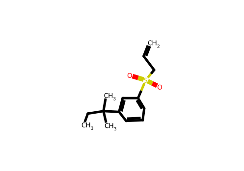 C=CCS(=O)(=O)c1cccc(C(C)(C)CC)c1